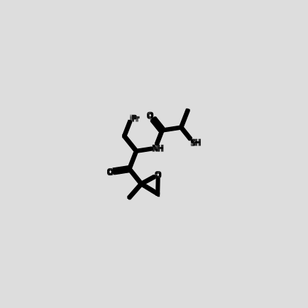 CC(C)CC(NC(=O)C(C)S)C(=O)C1(C)CO1